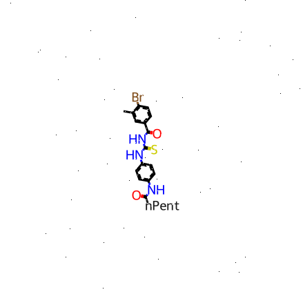 CCCCCC(=O)Nc1ccc(NC(=S)NC(=O)c2ccc(Br)c(C)c2)cc1